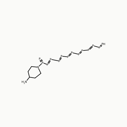 NC1CCN(P(#P)P=PP=PP=PP=PP=PP=P)CC1